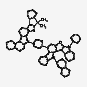 CC1(C)c2ccccc2-c2c1sc1c2ccc2c3c4ccccc4ccc3n(-c3ccc(-c4cc5oc6c(c7ccccc7n6-c6ccccc6)c5c5c4c4ccccc4n5-c4ccc5ccccc5c4)cc3)c21